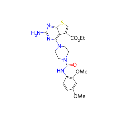 CCOC(=O)c1csc2nc(N)nc(N3CCN(C(=O)Nc4ccc(OC)cc4OC)CC3)c12